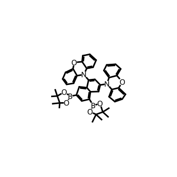 CC1(C)OB(c2cc(B3OC(C)(C)C(C)(C)O3)c3cc(N4c5ccccc5Oc5ccccc54)cc(N4c5ccccc5Oc5ccccc54)c3c2)OC1(C)C